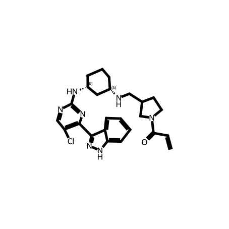 C=CC(=O)N1CCC(CN[C@H]2CCC[C@@H](Nc3ncc(Cl)c(-c4n[nH]c5ccccc45)n3)C2)C1